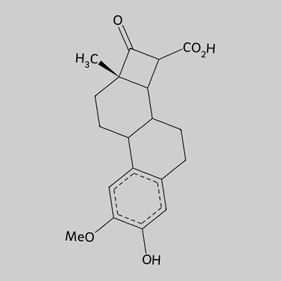 COc1cc2c(cc1O)CCC1C2CC[C@]2(C)C(=O)C(C(=O)O)C12